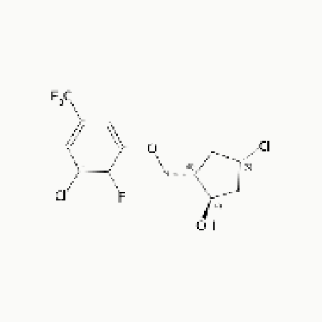 O[C@@H]1C[C@@H](Cl)C[C@H]1COc1cc(C(F)(F)F)cc(Cl)c1F